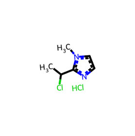 CC(Cl)c1nccn1C.Cl